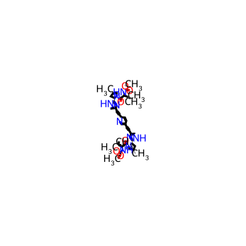 COC(=O)N[C@H](C(=O)N1C[C@@H](C)C[C@H]1c1nc(C#Cc2ccc(C#Cc3c[nH]c([C@@H]4C[C@H](C)CN4C(=O)[C@@H](NC(=O)OC)C(C)C)n3)nc2)c[nH]1)C(C)C